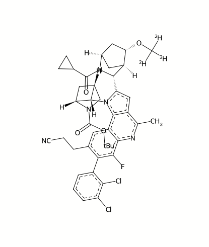 [2H]C([2H])([2H])O[C@H]1C[C@H]2C[C@@H]1[C@H](c1cc3c(C)nc4c(F)c(-c5cccc(Cl)c5Cl)c(CCC#N)cc4c3n1[C@H]1[C@@H]3C[C@H]1N(C(=O)OC(C)(C)C)C3)N2C(=O)C1CC1